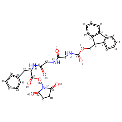 O=C(CNC(=O)OCC1c2ccccc2-c2ccccc21)NCC(=O)NC(Cc1ccccc1)C(=O)ON1C(=O)CCC1=O